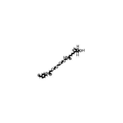 O=CC1=CC=C(CNC(=O)CCOCCOCCOCCOCCNC(=O)CCCCC2SCC3NC(O)NC32)CC1